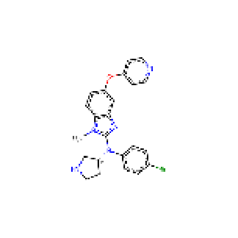 Cn1c(N(c2ccc(Br)cc2)[C@@H]2CCNC2)nc2cc(Oc3c[c]ncc3)ccc21